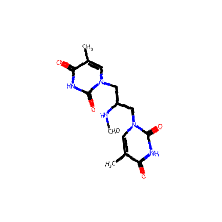 Cc1cn(CC(Cn2cc(C)c(=O)[nH]c2=O)NC=O)c(=O)[nH]c1=O